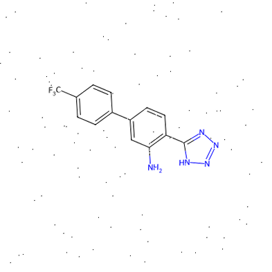 Nc1cc(-c2ccc(C(F)(F)F)cc2)ccc1-c1nnn[nH]1